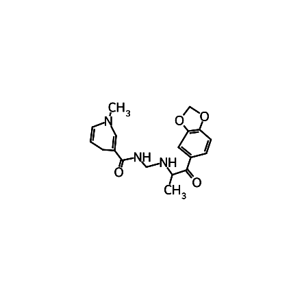 CC(NCNC(=O)C1=CN(C)C=CC1)C(=O)c1ccc2c(c1)OCO2